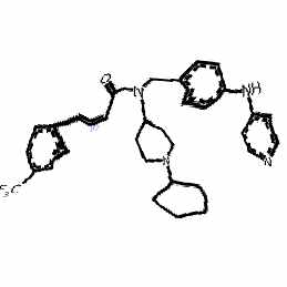 O=C(/C=C/c1ccc(C(F)(F)F)cc1)N(Cc1ccc(Nc2ccncc2)cc1)C1CCN(C2CCCC2)CC1